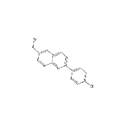 Clc1ccc(-c2ccc3cc(CBr)ccc3n2)cc1